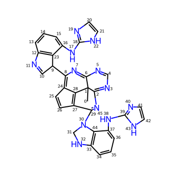 CC12C3=NC=NC1=NC(C1C=Nc4cccc(Nc5ncc[nH]5)c41)=C1C=CC(=C12)C(N1CNc2cccc(Nc4ncc[nH]4)c21)=N3